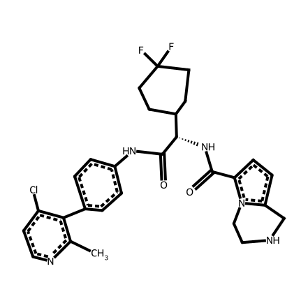 Cc1nccc(Cl)c1-c1ccc(NC(=O)[C@@H](NC(=O)c2ccc3n2CCNC3)C2CCC(F)(F)CC2)cc1